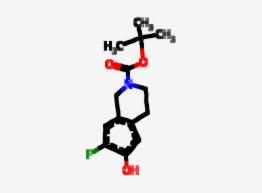 CC(C)(C)OC(=O)N1CCc2cc(O)c(F)cc2C1